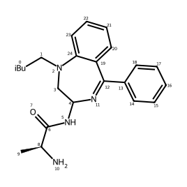 CCC(C)CN1CC(NC(=O)[C@H](C)N)N=C(c2ccccc2)c2ccccc21